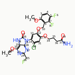 COc1ccc(F)c(F)c1COc1cc(-n2c(=O)[nH]c3c(OC)nc(CF)nc32)c(Cl)cc1OCCCC(N)=O